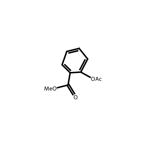 COC(=O)c1cc[c]cc1OC(C)=O